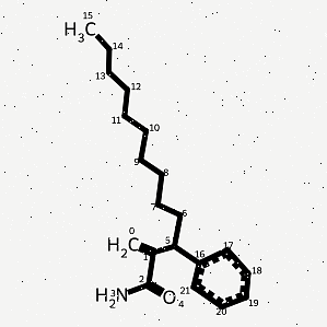 C=C(C(N)=O)C(CCCCCCCCCC)c1ccccc1